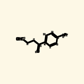 CCCc1ccc(C(=O)CCC=O)cc1